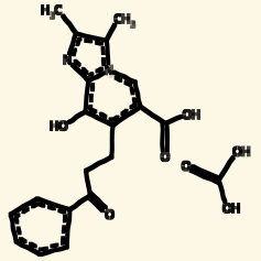 Cc1nc2c(O)c(CCC(=O)c3ccccc3)c(C(=O)O)cn2c1C.O=C(O)O